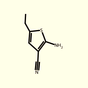 CCc1cc(C#N)c(N)s1